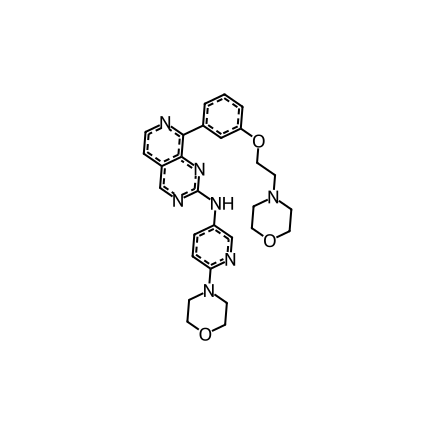 c1cc(OCCN2CCOCC2)cc(-c2nccc3cnc(Nc4ccc(N5CCOCC5)nc4)nc23)c1